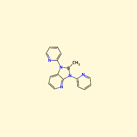 CB1N(c2ccccn2)c2cccnc2N1c1ccccn1